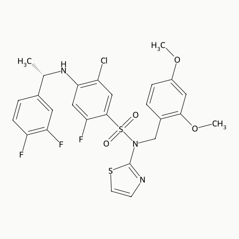 COc1ccc(CN(c2nccs2)S(=O)(=O)c2cc(Cl)c(N[C@@H](C)c3ccc(F)c(F)c3)cc2F)c(OC)c1